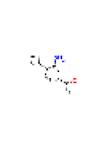 CCC(=O)c1ccc(C2CCC2)c(N)c1